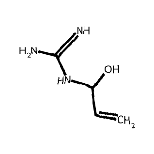 C=CC(O)NC(=N)N